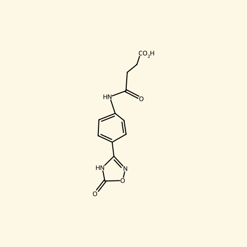 O=C(O)CCC(=O)Nc1ccc(-c2noc(=O)[nH]2)cc1